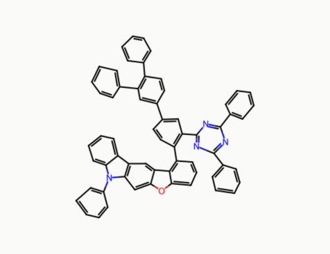 c1ccc(-c2nc(-c3ccccc3)nc(-c3cc(-c4ccc(-c5ccccc5)c(-c5ccccc5)c4)ccc3-c3cccc4oc5cc6c(cc5c34)c3ccccc3n6-c3ccccc3)n2)cc1